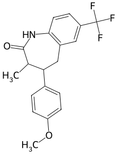 COc1ccc(C2Cc3cc(C(F)(F)F)ccc3NC(=O)C2C)cc1